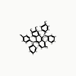 Cc1ccc(N(c2ccccc2)c2c3ccc(C)cc3c(N(c3ccccc3)c3ccc(C)cc3)c3cc(C)c(C)cc23)cc1